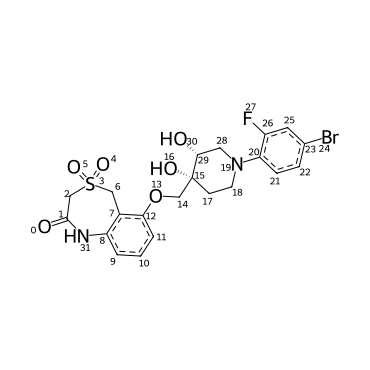 O=C1CS(=O)(=O)Cc2c(cccc2OC[C@]2(O)CCN(c3ccc(Br)cc3F)C[C@H]2O)N1